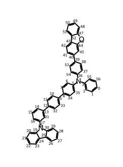 c1ccc(N(c2ccc(-c3ccc(-c4cccc(-n5c6ccccc6c6ccccc65)c4)cc3)cc2)c2ccc(-c3ccc4c(c3)oc3ccccc34)cc2)cc1